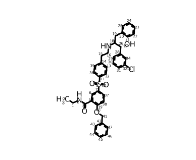 CCNC(=O)c1cc(S(=O)(=O)c2ccc(CCNC(Cc3ccccc3)[C@H](O)c3cccc(Cl)c3)cc2)ccc1OCc1ccccc1